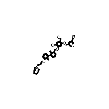 Cc1c(COc2cc(OCc3cncc(C#N)c3)c(C=O)cc2Cl)cccc1-c1cccc(OCCCN2CC3CCC(C2)O3)c1C